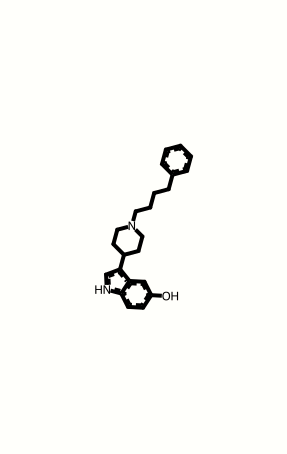 Oc1ccc2[nH]cc(C3CCN(CCCCc4ccccc4)CC3)c2c1